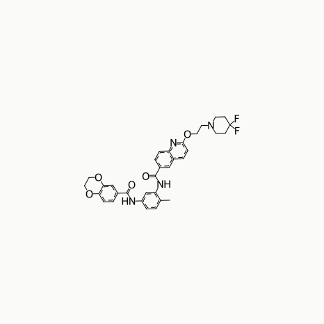 Cc1ccc(NC(=O)c2ccc3c(c2)OCCO3)cc1NC(=O)c1ccc2nc(OCCN3CCC(F)(F)CC3)ccc2c1